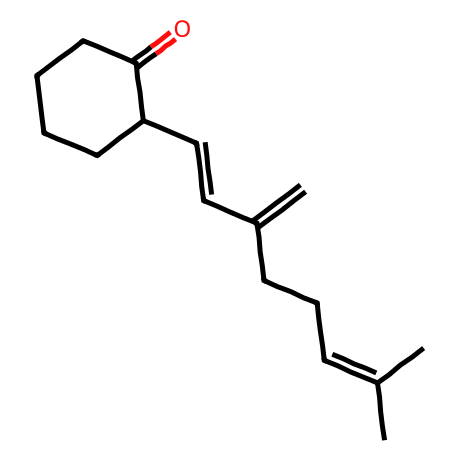 C=C(C=CC1CCCCC1=O)CCC=C(C)C